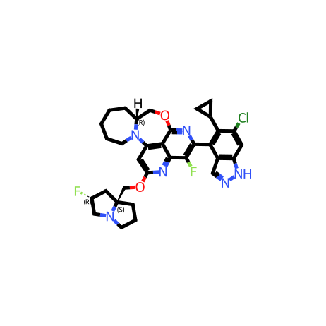 Fc1c(-c2c(C3CC3)c(Cl)cc3[nH]ncc23)nc2c3c(cc(OC[C@@]45CCCN4C[C@H](F)C5)nc13)N1CCCCC[C@@H]1CO2